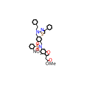 COC(=O)Cc1coc2cc(N(Cc3ccc(CN(CCc4ccccc4)c4nc(-c5ccccc5)cs4)cc3)S(=O)(=O)c3ccccc3[N+](=O)[O-])ccc12